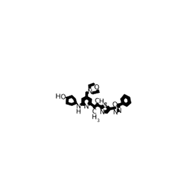 CC(c1cc(CN2CCOCC2)cc(N[C@H]2CC[C@H](O)CC2)n1)C(C)c1ncc(-c2nnc(-c3ccccc3)o2)s1